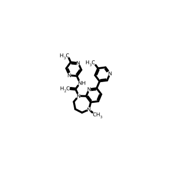 C=C(Nc1cnc(C)cn1)N1CCCN(C)c2ccc(-c3cncc(C)c3)nc21